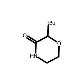 CC(C)(C)C1OCCNC1=O